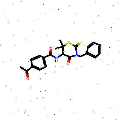 CC(=O)c1ccc(C(=O)NC2C(=O)N(Cc3ccccc3)C(=S)SC2(C)C)cc1